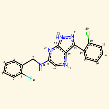 Fc1ccccc1CNc1cnc2c(-c3ccccc3Cl)n[nH]c2n1